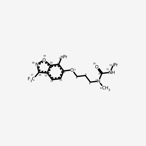 CCCc1c(OCCCN(C)C(=O)NC(C)C)ccc2c(C(F)(F)F)noc12